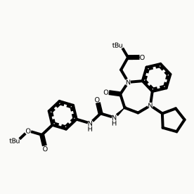 CC(C)(C)OC(=O)c1cccc(NC(=O)N[C@@H]2CN(C3CCCC3)c3ccccc3N(CC(=O)C(C)(C)C)C2=O)c1